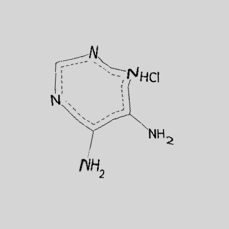 Cl.Nc1ncnnc1N